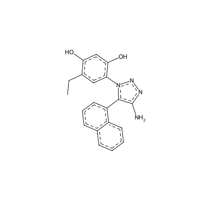 CCc1cc(-n2nnc(N)c2-c2cccc3ccccc23)c(O)cc1O